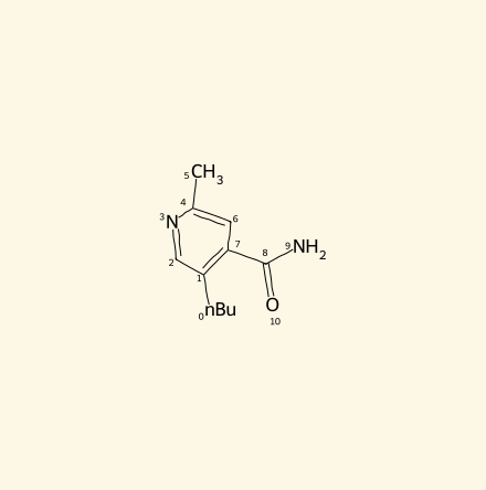 CCCCc1cnc(C)cc1C(N)=O